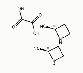 N#C[C@H]1CCN1.N#C[C@H]1CCN1.O=C(O)C(=O)O